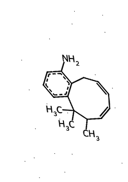 CC1/C=C\C=C/Cc2c(N)cccc2C1(C)C